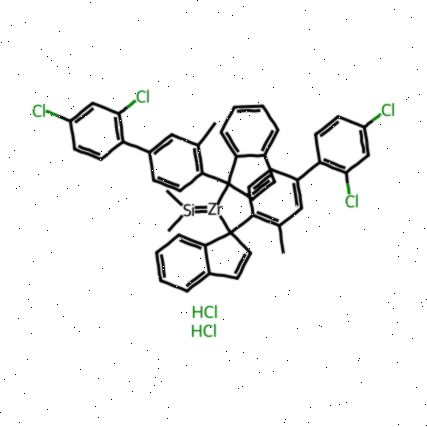 Cc1cc(-c2ccc(Cl)cc2Cl)ccc1[C]1([Zr](=[Si](C)C)[C]2(c3ccc(-c4ccc(Cl)cc4Cl)cc3C)C=Cc3ccccc32)C=Cc2ccccc21.Cl.Cl